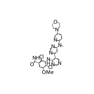 COc1cc(C(N)=O)c(Cl)c(Nc2ncncc2-c2cc(N(C)c3ccc(N4CCOCC4)cn3)ncn2)c1Cl